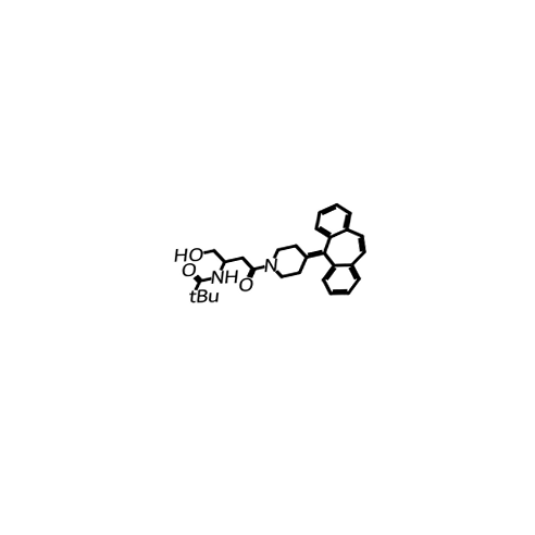 CC(C)(C)C(=O)NC(CO)CC(=O)N1CCC(=C2c3ccccc3C=Cc3ccccc32)CC1